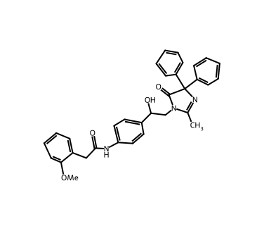 COc1ccccc1CC(=O)Nc1ccc(C(O)CN2C(=O)C(c3ccccc3)(c3ccccc3)N=C2C)cc1